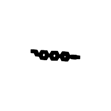 CC#Cc1ccc(C2CCC(C3CCC(/C=C/C)CC3)CC2)cc1